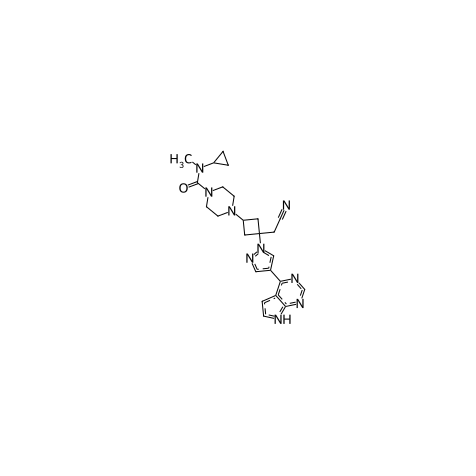 CN(C(=O)N1CCN(C2CC(CC#N)(n3cc(-c4ncnc5[nH]ccc45)cn3)C2)CC1)C1CC1